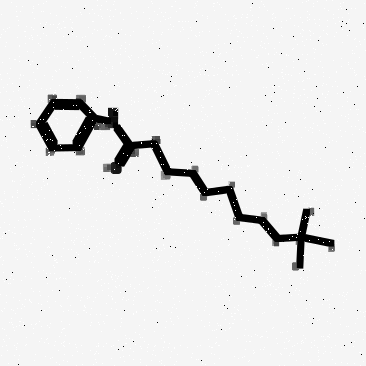 CC(C)(C)CCCCCCCCC(=O)Nc1ccccc1